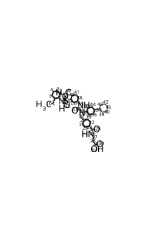 CCc1ccccc1NS(=O)(=O)c1cc(NC(=O)N(Cc2ccc(C(=O)NCCC(=O)O)cc2)c2ccc(C3CCCCC3)cc2)ccc1C